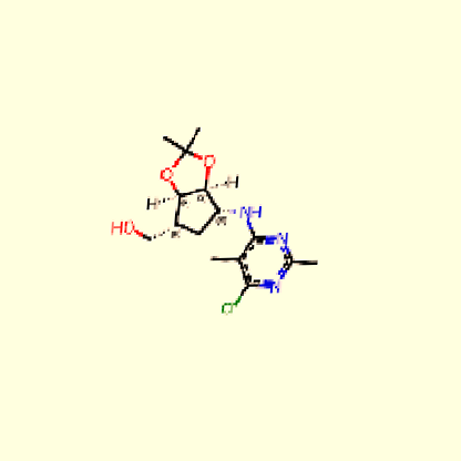 Cc1nc(Cl)c(C)c(N[C@@H]2C[C@H](CO)[C@H]3OC(C)(C)O[C@H]32)n1